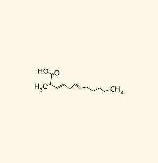 CCCCC/C=C/C/C=C/C(C)C(=O)O